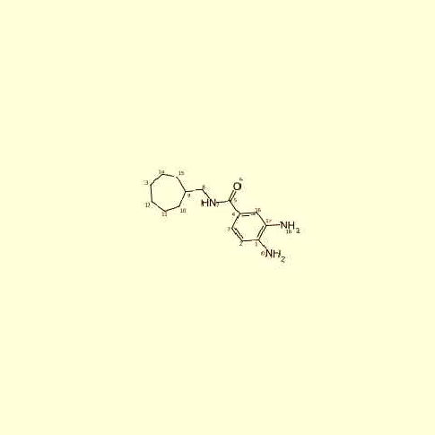 Nc1ccc(C(=O)NCC2CCCCCC2)cc1N